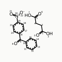 O=C(O)CCC(=O)O.O=C(c1ccccc1)c1ccc([N+](=O)[O-])cc1